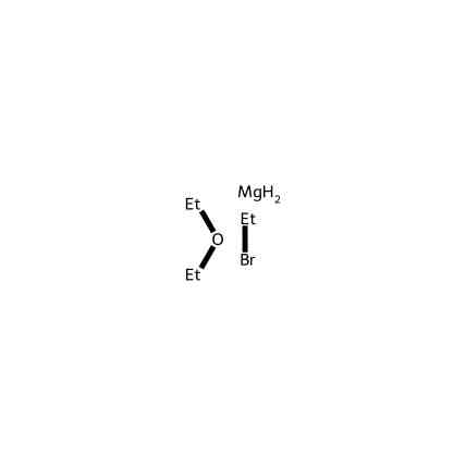 CCBr.CCOCC.[MgH2]